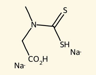 CN(CC(=O)O)C(=S)S.[Na].[Na]